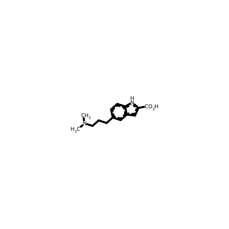 CN(C)CCCc1ccc2[nH]c(C(=O)O)cc2c1